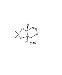 CC1(C)O[C@H]2[C@@H](C=O)OC=C[C@H]2O1